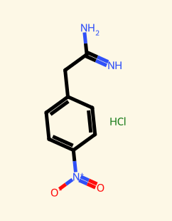 Cl.N=C(N)Cc1ccc([N+](=O)[O-])cc1